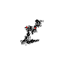 CC[C@H](C)[C@@H]([C@H](O)CC(=O)N1CCC([C@H](OC)[C@@H](C)C(=O)N[C@H](C)[C@@H](O)c2ccccc2)C1)N(C)C(=O)[C@@H](NC(=O)[C@H](C(C)C)N(C)C(=O)OCc1ccc(NC(=O)[C@H](CCCNC(N)=O)NC(=O)[C@@H](NC(=O)c2ccc(CN=[N+]=[N-])cc2)C(C)C)cc1)C(C)C